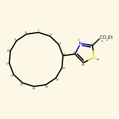 CCOC(=O)c1nc(C2CCCCCCCCCCCCC2)cs1